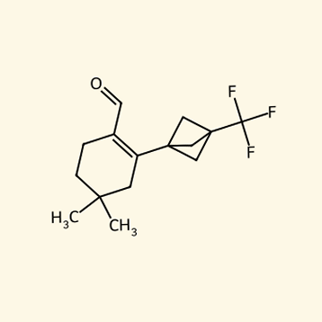 CC1(C)CCC(C=O)=C(C23CC(C(F)(F)F)(C2)C3)C1